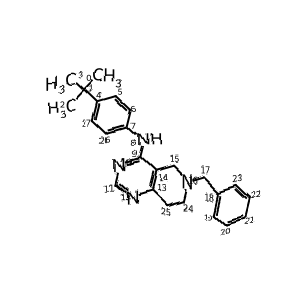 CC(C)(C)c1ccc(Nc2ncnc3c2CN(Cc2ccccc2)CC3)cc1